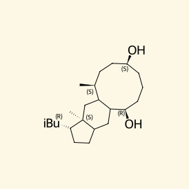 CC[C@@H](C)C1CCC2CC3C(C[C@@]21C)[C@@H](C)CC[C@@H](O)CCC[C@H]3O